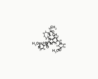 C=CC(=O)N1CCCC[C@@H](n2c(NC(=O)c3ccnc(C)c3)nc3cc(CN4CC[C@@H](OC)C4)cc(C)c32)C1